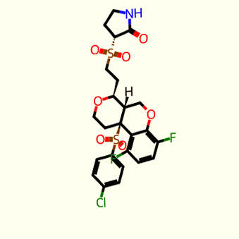 O=C1NCC[C@H]1S(=O)(=O)CC[C@@H]1OCC[C@@]2(S(=O)(=O)c3ccc(Cl)cc3)c3c(F)ccc(F)c3OC[C@@H]12